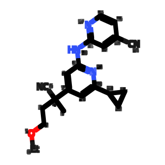 CCOCCC(C)(C#N)c1cc(Nc2cc(C#N)ccn2)nc(C2CC2)c1